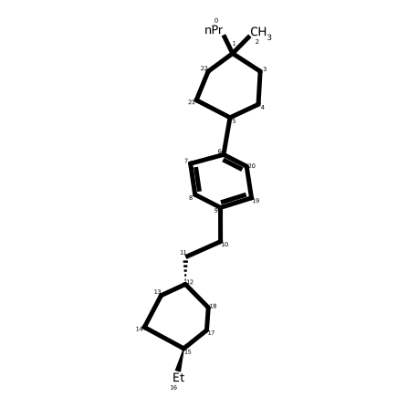 CCCC1(C)CCC(c2ccc(CC[C@H]3CC[C@H](CC)CC3)cc2)CC1